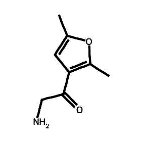 Cc1cc(C(=O)CN)c(C)o1